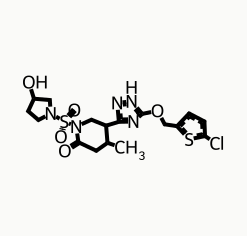 CC1CC(=O)N(S(=O)(=O)N2CCC(O)C2)CC1c1n[nH]c(OCc2ccc(Cl)s2)n1